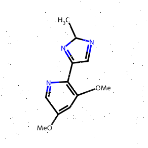 COc1cnc(C2=NC(C)N=C2)c(OC)c1